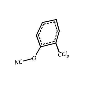 N#COc1ccccc1C(Cl)(Cl)Cl